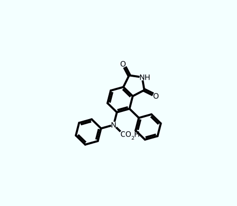 O=C1NC(=O)c2c1ccc(N(C(=O)O)c1ccccc1)c2-c1ccccc1